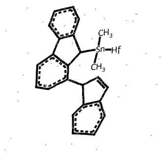 [CH3][Sn]([CH3])([Hf])[CH]1c2ccccc2-c2cccc(C3C=Cc4ccccc43)c21